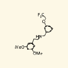 COc1cc(CCNCc2cccc(OCC(F)(F)F)c2)cc(OC)c1